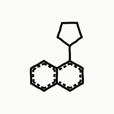 c1ccc2c(C3CCCC3)cccc2c1